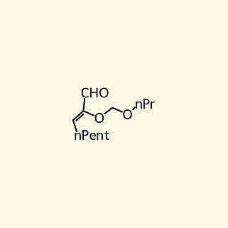 CCCCCC=C(C=O)OCOCCC